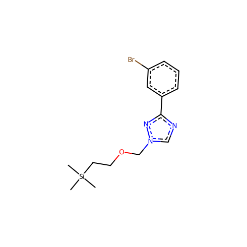 C[Si](C)(C)CCOCn1cnc(-c2cccc(Br)c2)n1